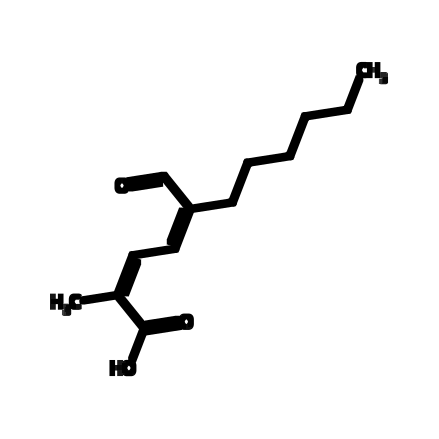 CCCCCCC(C=O)=CC=C(C)C(=O)O